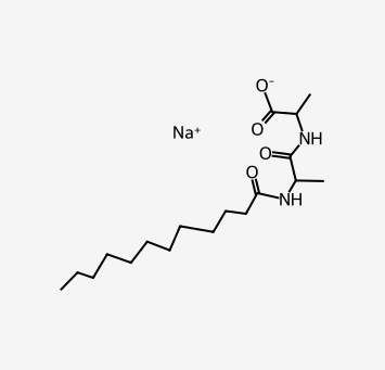 CCCCCCCCCCCC(=O)NC(C)C(=O)NC(C)C(=O)[O-].[Na+]